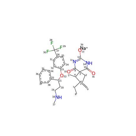 C=CCC1(C(C)CCC)C(=O)N=C([O-])NC1=O.CNCCC(Oc1ccc(C(F)(F)F)cc1)c1ccccc1.[Na+]